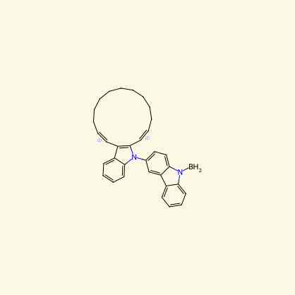 Bn1c2ccccc2c2cc(-n3c4c(c5ccccc53)/C=C\CCCCCCCCC/C=C\4)ccc21